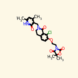 Cc1cc(C)c(CN2CCc3ccc(OCCN4C(=O)OC(C)(C)C4=O)c(Cl)c3C2=O)c(=O)[nH]1